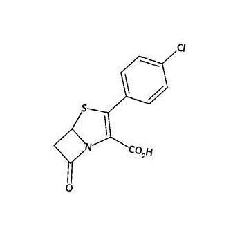 O=C(O)C1=C(c2ccc(Cl)cc2)SC2CC(=O)N12